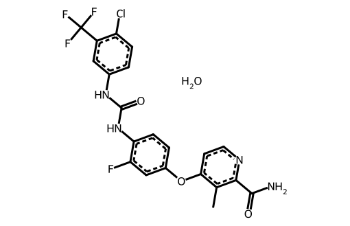 Cc1c(Oc2ccc(NC(=O)Nc3ccc(Cl)c(C(F)(F)F)c3)c(F)c2)ccnc1C(N)=O.O